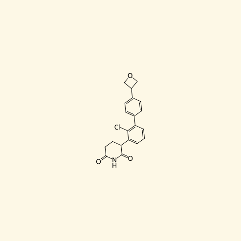 O=C1CCC(c2cccc(-c3ccc(C4COC4)cc3)c2Cl)C(=O)N1